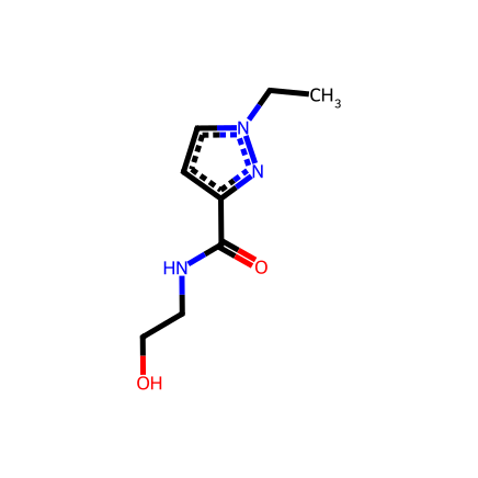 CCn1ccc(C(=O)NCCO)n1